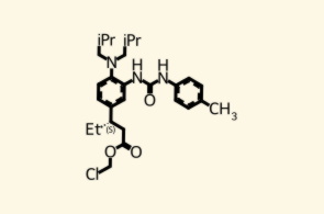 CC[C@@H](CC(=O)OCCl)c1ccc(N(CC(C)C)CC(C)C)c(NC(=O)Nc2ccc(C)cc2)c1